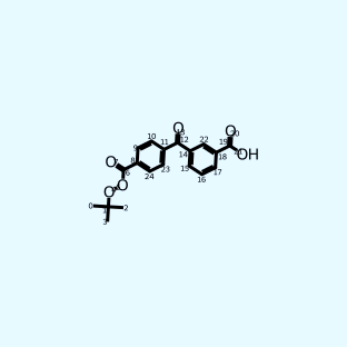 CC(C)(C)OOC(=O)c1ccc(C(=O)c2cccc(C(=O)O)c2)cc1